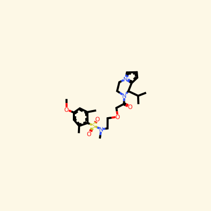 COc1cc(C)c(S(=O)(=O)N(C)CCOCC(=O)N2CCn3cccc3C2C(C)C)c(C)c1